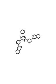 c1ccc(-c2nc(-c3cccc(-c4cc5ccccc5cn4)c3)nc(-c3cccc(-c4cc5ccccc5cn4)c3)n2)cc1